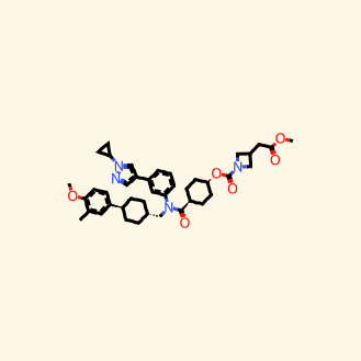 COC(=O)CC1CN(C(=O)O[C@H]2CC[C@H](C(=O)N(C[C@H]3CC[C@H](c4ccc(OC)c(C)c4)CC3)c3cccc(-c4cnn(C5CC5)c4)c3)CC2)C1